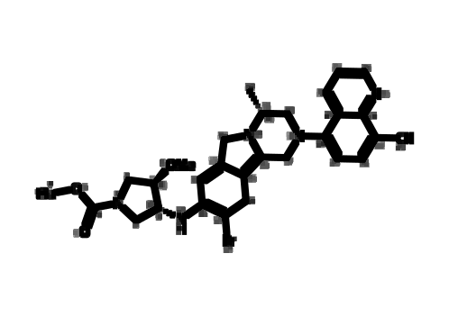 CO[C@@H]1CN(C(=O)OC(C)(C)C)C[C@H]1NC1=C(Br)CC2=C3CN(c4ccc(C#N)c5ncccc45)C[C@@H](C)N3CC2=C1